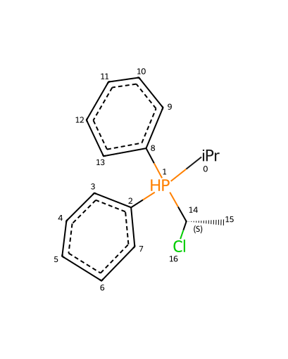 CC(C)[PH](c1ccccc1)(c1ccccc1)[C@H](C)Cl